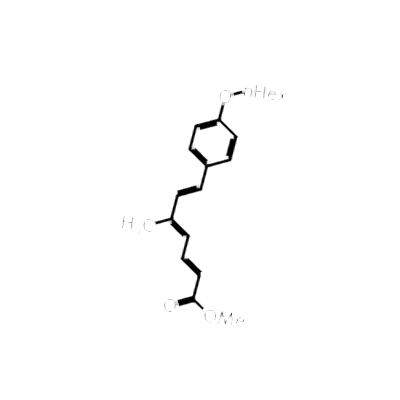 CCCCCCOc1ccc(C=CC(C)=CC=CC(=O)OC)cc1